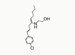 CCCC/C=C(/C/C=C/c1ccc(Cl)cc1)NCCO